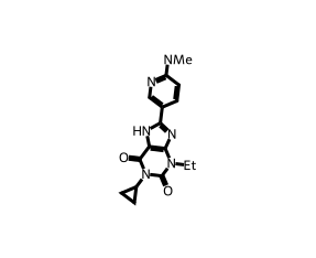 CCn1c(=O)n(C2CC2)c(=O)c2[nH]c(-c3ccc(NC)nc3)nc21